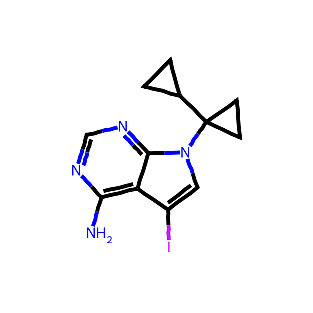 Nc1ncnc2c1c(I)cn2C1(C2CC2)CC1